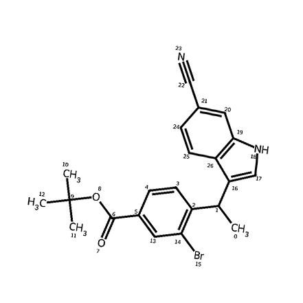 CC(c1ccc(C(=O)OC(C)(C)C)cc1Br)c1c[nH]c2cc(C#N)ccc12